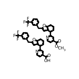 COC(=O)c1ccnc(-c2cccc3oc(Cc4cccc(C(F)(F)F)c4)cc23)c1.O=C(O)c1ccnc(-c2cccc3oc(Cc4cccc(C(F)(F)F)c4)cc23)c1